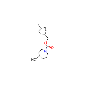 Cc1ccc(COC(=O)N2CCCC(C#N)CC2)cc1